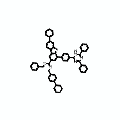 C1=CC(c2ccc(C/N=C(\N=C\c3ccccc3)c3cc(-c4ccc(C5N=C(c6ccccc6)N=C(c6ccccc6)N5)cc4)c4sc5cc(-c6ccccc6)ccc5c4c3)cc2)=CCC1